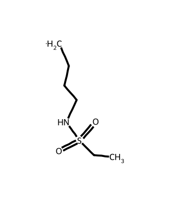 [CH2]CCCNS(=O)(=O)CC